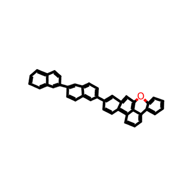 c1ccc2c(c1)Oc1cc3cc(-c4ccc5cc(-c6ccc7ccccc7c6)ccc5c4)ccc3c3cccc-2c13